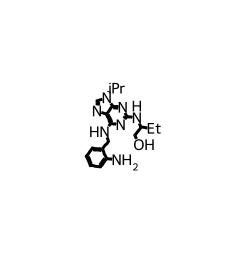 CCC(CO)Nc1nc(NCc2ccccc2N)c2ncn(C(C)C)c2n1